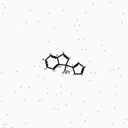 CCCC1(C2=CC=CC2)C=Cc2ccccc21